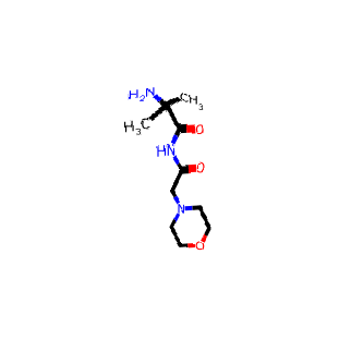 CC(C)(N)C(=O)NC(=O)CN1CCOCC1